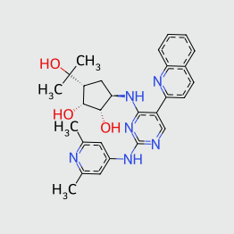 Cc1cc(Nc2ncc(-c3ccc4ccccc4n3)c(N[C@@H]3C[C@@H](C(C)(C)O)[C@@H](O)[C@H]3O)n2)cc(C)n1